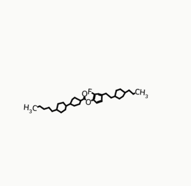 CCCCCC1CCC(C2CCC(C(=O)Oc3ccc(CCC4CCC(CCC)CC4)cc3F)CC2)CC1